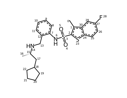 Cc1c(S(=O)(=O)Nc2ccccc2CN[C@@H](C)CC2CCCC2)sc2ccc(F)cc12